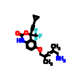 CC(=C=C(C)COc1ccc2c(c1)C(C#CC1CC1)(C(F)(F)F)OC(=O)N2)CN